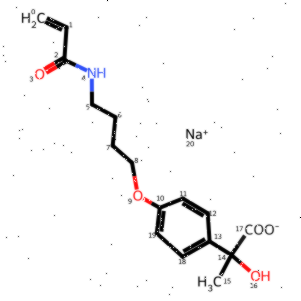 C=CC(=O)NCCCCOc1ccc(C(C)(O)C(=O)[O-])cc1.[Na+]